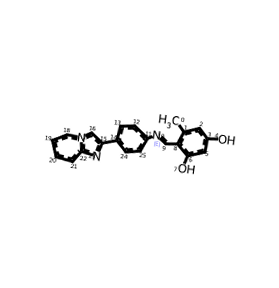 Cc1cc(O)cc(O)c1/C=N/c1ccc(-c2cn3ccccc3n2)cc1